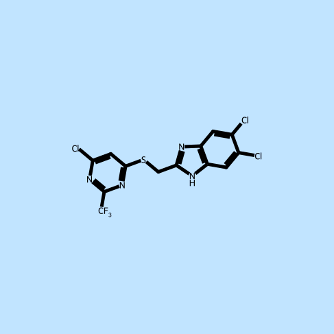 FC(F)(F)c1nc(Cl)cc(SCc2nc3cc(Cl)c(Cl)cc3[nH]2)n1